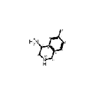 Cc1ccc2c(c1)C(N)CNC2